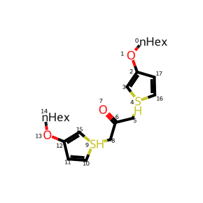 CCCCCCOC1=C[SH](CC(=O)C[SH]2C=CC(OCCCCCC)=C2)C=C1